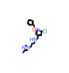 Cc1cn(CCCNCc2cc(Cl)nc(OCc3ccccc3)c2)cn1